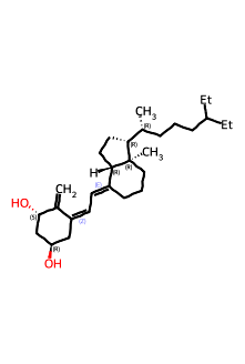 C=C1/C(=C\C=C2/CCC[C@]3(C)[C@@H]([C@H](C)CCCC(CC)CC)CC[C@@H]23)C[C@@H](O)C[C@@H]1O